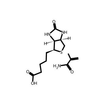 C=C(C)C(N)=O.O=C(O)CCCC[C@@H]1SC[C@@H]2NC(=O)N[C@@H]21